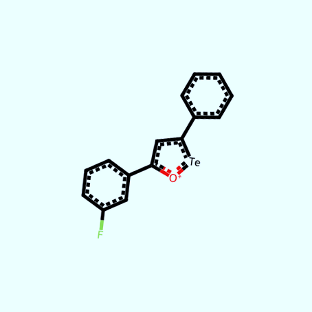 Fc1cccc(-c2cc(-c3ccccc3)[te][o+]2)c1